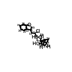 CC1(C)[C@@H]2C[C@@H](O)[C@@](C)(OB[C@H](Cl)CC3COc4ccccc43)[C@H]1C2